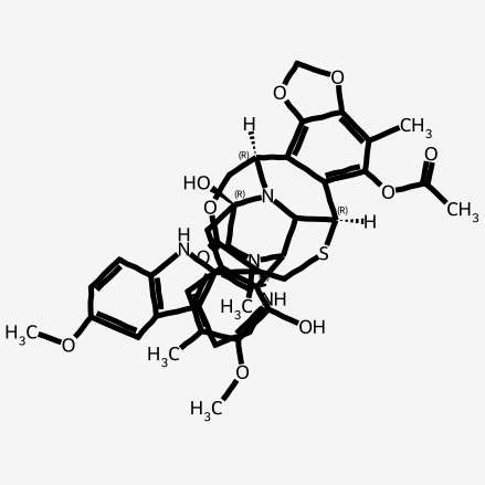 COc1ccc2[nH]c3c(c2c1)CCN[C@]31CS[C@@H]2c3c(OC(C)=O)c(C)c4c(c3[C@H](COC1=O)N1C2C2c3c(cc(C)c(OC)c3O)C[C@@]1(O)CN2C)OCO4